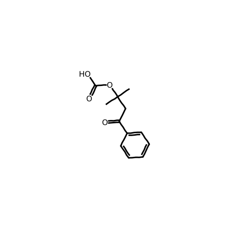 CC(C)(CC(=O)c1ccccc1)OC(=O)O